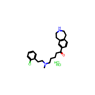 CN(CCCCC(=O)c1ccc2c(c1)CCNCC2)CCc1ccccc1Cl.Cl.Cl